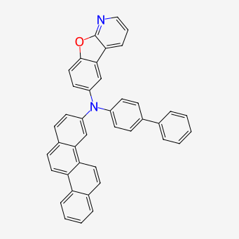 c1ccc(-c2ccc(N(c3ccc4ccc5c6ccccc6ccc5c4c3)c3ccc4oc5ncccc5c4c3)cc2)cc1